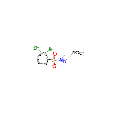 CCCCCCCCCCNS(=O)(=O)c1cccc(Br)c1Br